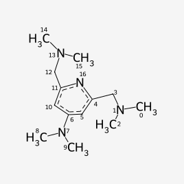 CN(C)Cc1cc(N(C)C)cc(CN(C)C)n1